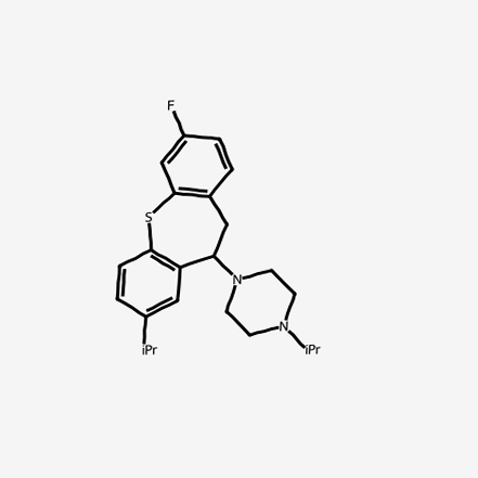 CC(C)c1ccc2c(c1)C(N1CCN(C(C)C)CC1)Cc1ccc(F)cc1S2